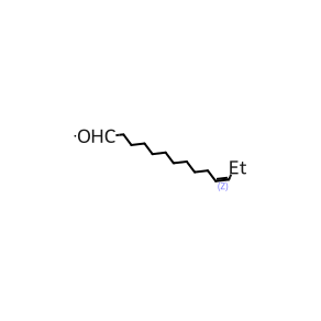 CC/C=C\CCCCCCCCC[C]=O